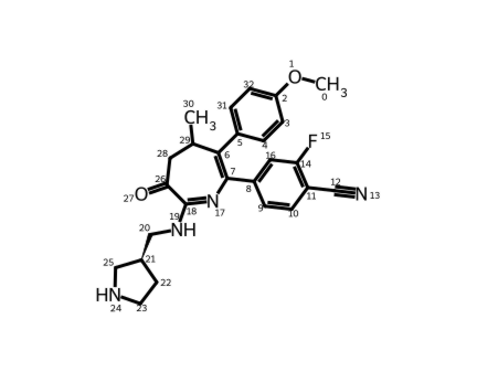 COc1ccc(C2=C(c3ccc(C#N)c(F)c3)N=C(NC[C@H]3CCNC3)C(=O)CC2C)cc1